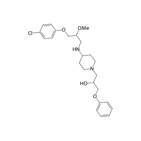 COC(CNC1CCN(CC(O)COc2ccccc2)CC1)COc1ccc(Cl)cc1